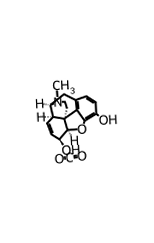 CN1CC[C@]23c4c5ccc(O)c4O[C@H]2[C@@H](O)C=C[C@H]3[C@H]1C5.O=C=O